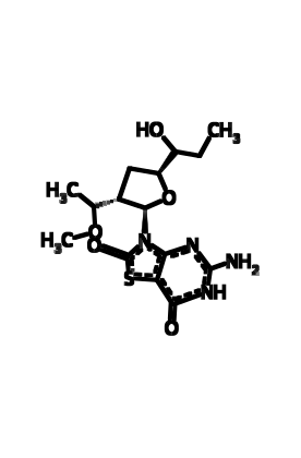 CCC(O)[C@@H]1C[C@@H](C(C)OC)[C@H](n2c(=O)sc3c(=O)[nH]c(N)nc32)O1